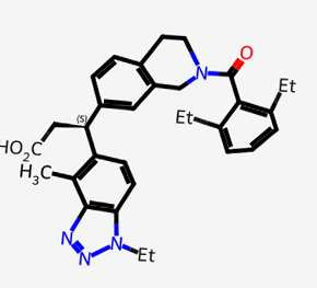 CCc1cccc(CC)c1C(=O)N1CCc2ccc([C@H](CC(=O)O)c3ccc4c(nnn4CC)c3C)cc2C1